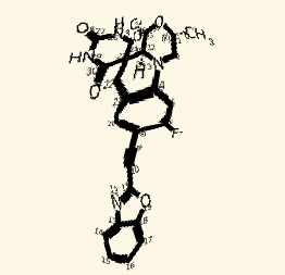 C[C@@H]1CN2c3cc(F)c(C#Cc4nc5ccccc5o4)cc3CC3(C(=O)NC(=O)NC3=O)[C@H]2[C@H](C)O1